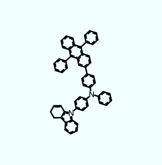 C1=Cc2c(c3ccccc3n2-c2ccc(N(c3ccccc3)c3ccc(-c4ccc5c(-c6ccccc6)c6ccccc6c(-c6ccccc6)c5c4)cc3)cc2)CC1